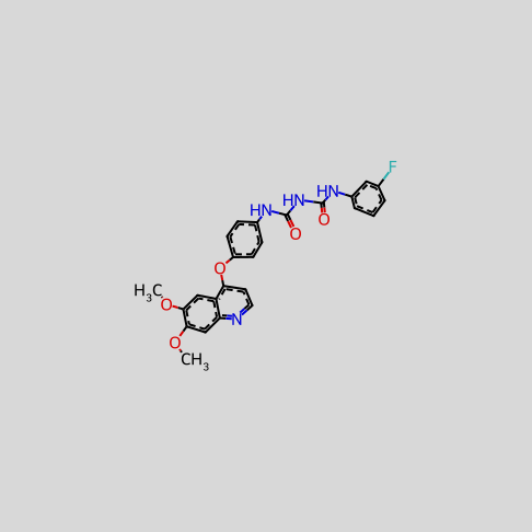 COc1cc2nccc(Oc3ccc(NC(=O)NC(=O)Nc4cccc(F)c4)cc3)c2cc1OC